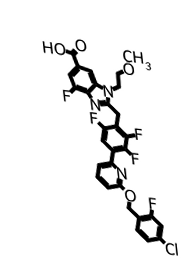 COCCn1c(Cc2c(F)cc(-c3cccc(OCc4ccc(Cl)cc4F)n3)c(F)c2F)nc2c(F)cc(C(=O)O)cc21